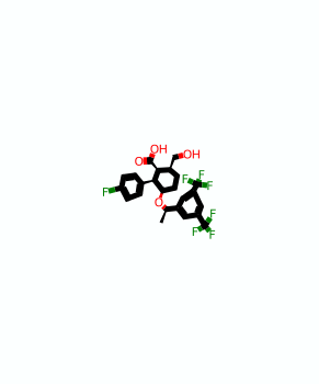 C[C@@H](O[C@@H]1CC[C@H](CO)[C@H](C(=O)O)[C@@H]1c1ccc(F)cc1)c1cc(C(F)(F)F)cc(C(F)(F)F)c1